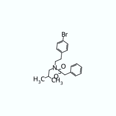 CC(C)CN(CCc1ccc(Br)cc1)S(=O)(=O)Cc1ccccc1